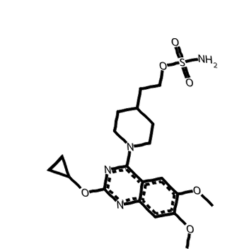 COc1cc2nc(OC3CC3)nc(N3CCC(CCOS(N)(=O)=O)CC3)c2cc1OC